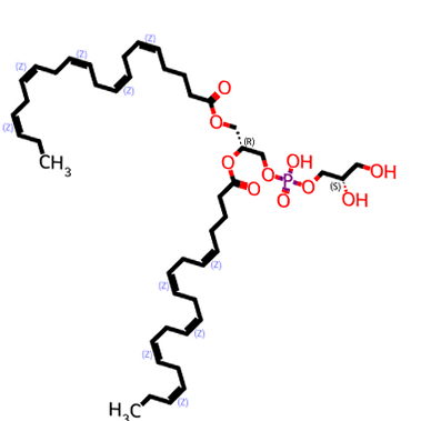 CC/C=C\C/C=C\C/C=C\C/C=C\C/C=C\CCCC(=O)OC[C@H](COP(=O)(O)OC[C@@H](O)CO)OC(=O)CCC/C=C\C/C=C\C/C=C\C/C=C\C/C=C\CC